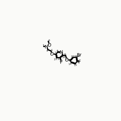 CON(C)CCOc1cnc(COc2ccc(F)c(Br)c2)c(F)c1